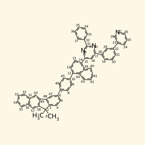 CC1(C)c2ccc(-c3ccc(-c4ccc(-c5cc(-c6cccc(-c7cccnc7)c6)nc(-c6ccccc6)n5)c5ccccc45)cc3)cc2-c2cc3ccccc3cc21